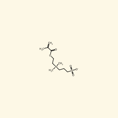 C=C(C)C(=O)OCC[N+](C)(C)CCCS(=O)(=O)[O-]